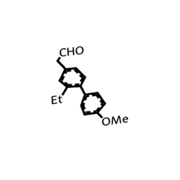 CCc1cc(CC=O)ccc1-c1ccc(OC)cc1